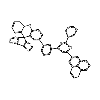 C1=CCC2Oc3ccc(-c4cccc(-c5cc(-c6cc7c8c(cccc8c6)CC=C7)nc(-c6ccccc6)n5)c4)cc3C3(C2=C1)c1ccccc1-c1ccccc13